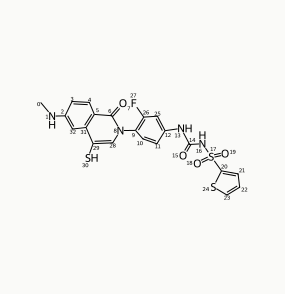 CNc1ccc2c(=O)n(-c3ccc(NC(=O)NS(=O)(=O)c4cccs4)cc3F)cc(S)c2c1